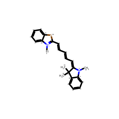 CC[n+]1c(/C=C/C=C/C=C2/N(C)c3ccccc3C2(C)C)sc2ccccc21